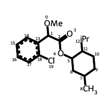 COC(C(=O)OC1CC(C)CCC1C(C)C)c1ccccc1Cl